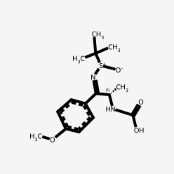 COc1ccc(C(=N[S+]([O-])C(C)(C)C)[C@H](C)NC(=O)O)cc1